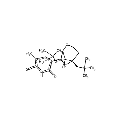 Cc1cn([C@@H]2O[C@@]3(CC(C)(C)C)CCOC2[C@H]3OC(C)(C)C)c(=O)[nH]c1=O